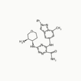 Cc1cc(Nc2nc(N[C@@H]3CCOC[C@@H]3N)nnc2C(N)=O)cc2cn(C(C)C)nc12